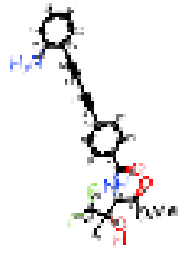 COC(=O)[C@@H](NC(=O)c1ccc(C#CC#Cc2ccccc2N)cc1)[C@](C)(O)C(F)F